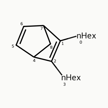 CCCCCCC1=C(CCCCCC)C2C=CC1C2